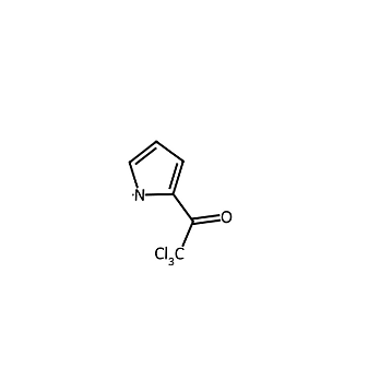 O=C(C1=CC=C[N]1)C(Cl)(Cl)Cl